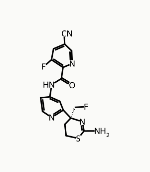 N#Cc1cnc(C(=O)Nc2ccnc([C@]3(CF)CCSC(N)=N3)c2)c(F)c1